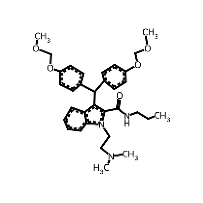 CCCNC(=O)c1c(C(c2ccc(OCOC)cc2)c2ccc(OCOC)cc2)c2ccccc2n1CCN(C)C